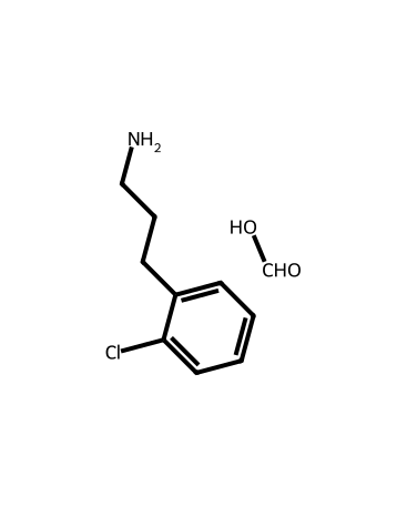 NCCCc1ccccc1Cl.O=CO